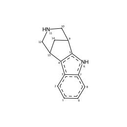 c1ccc2c3c([nH]c2c1)C1CNCC3C1